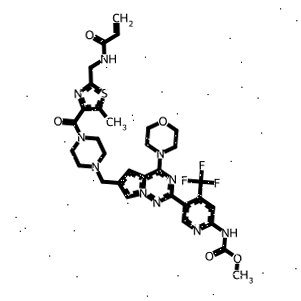 C=CC(=O)NCc1nc(C(=O)N2CCN(Cc3cc4c(N5CCOCC5)nc(-c5cnc(NC(=O)OC)cc5C(F)(F)F)nn4c3)CC2)c(C)s1